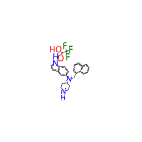 O=C(O)C(F)(F)F.c1ccc2c(CN(c3ccc4[nH]ccc4c3)C3CCNCC3)cccc2c1